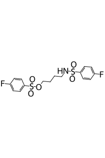 O=S(=O)(NCCCCOS(=O)(=O)c1ccc(F)cc1)c1ccc(F)cc1